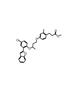 COC(=O)CCc1ccc(OCCC(C)Oc2ccc(Cl)cc2-c2cc3ccccc3o2)cc1C